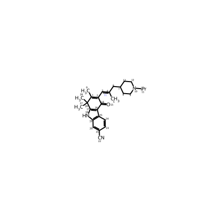 CC1=C(/C=C(\C)CC2CCN(C(C)C)CC2)C(=O)c2c([nH]c3cc(C#N)ccc23)C1(C)C